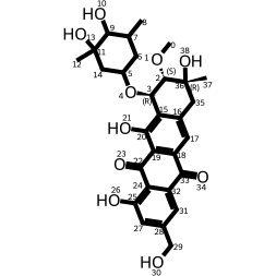 CO[C@H]1[C@H](OC2CC(C)C(O)C(C)(O)C2)c2c(cc3c(c2O)C(=O)c2c(O)cc(CO)cc2C3=O)C[C@@]1(C)O